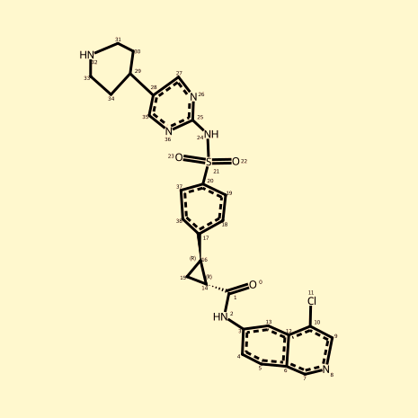 O=C(Nc1ccc2cncc(Cl)c2c1)[C@@H]1C[C@H]1c1ccc(S(=O)(=O)Nc2ncc(C3CCNCC3)cn2)cc1